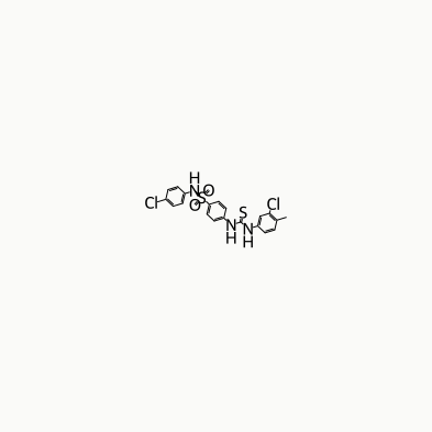 Cc1ccc(NC(=S)Nc2ccc(S(=O)(=O)Nc3ccc(Cl)cc3)cc2)cc1Cl